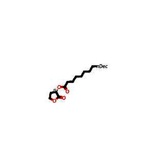 CCCCCCCCCCCCCCCCCC(=O)O[C@H]1CCOC1=O